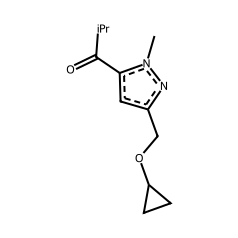 CC(C)C(=O)c1cc(COC2CC2)nn1C